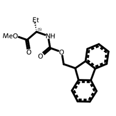 CC[C@H](NC(=O)OCC1c2ccccc2-c2ccccc21)C(=O)OC